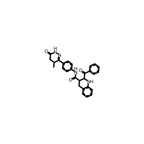 CC1CC(=O)NN=C1c1ccc(NC(=O)C2Cc3ccccc3NC2C(=O)c2ccccc2)cc1